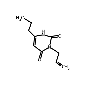 C=CCn1c(=O)cc(CCC)[nH]c1=O